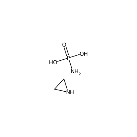 C1CN1.NP(=O)(O)O